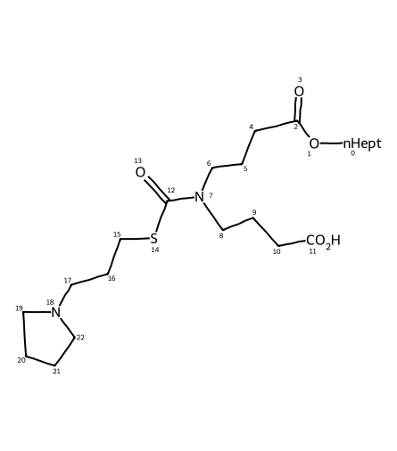 CCCCCCCOC(=O)CCCN(CCCC(=O)O)C(=O)SCCCN1CCCC1